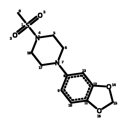 CS(=O)(=O)N1CCN(c2ccc3c(c2)OCO3)CC1